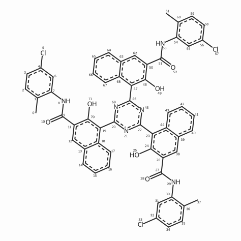 Cc1ccc(Cl)cc1NC(=O)c1cc2ccccc2c(-c2nc(-c3c(O)c(C(=O)Nc4cc(Cl)ccc4C)cc4ccccc34)nc(-c3c(O)c(C(=O)Nc4cc(Cl)ccc4C)cc4ccccc34)n2)c1O